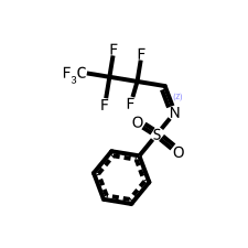 O=S(=O)(/N=C\C(F)(F)C(F)(F)C(F)(F)F)c1ccccc1